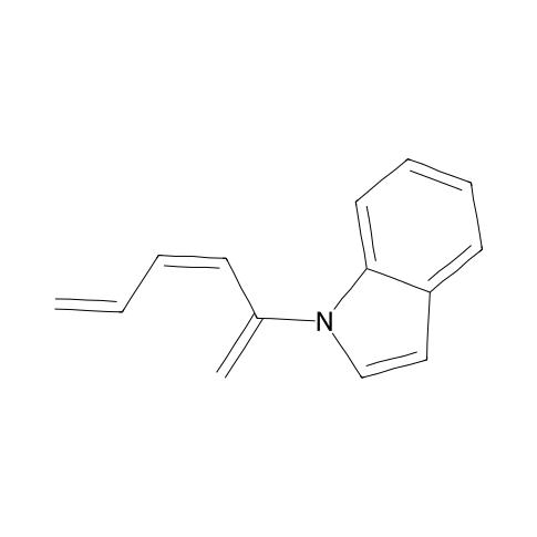 C=C/C=C\C(=C)n1ccc2ccccc21